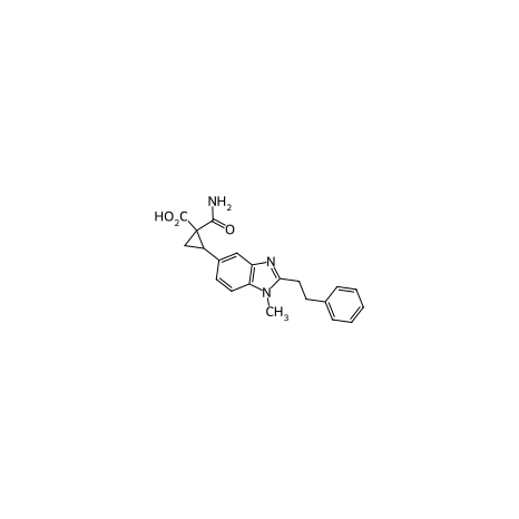 Cn1c(CCc2ccccc2)nc2cc(C3CC3(C(N)=O)C(=O)O)ccc21